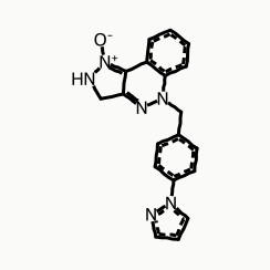 [O-][N+]1=C2C(=NN(Cc3ccc(-n4cccn4)cc3)c3ccccc32)CN1